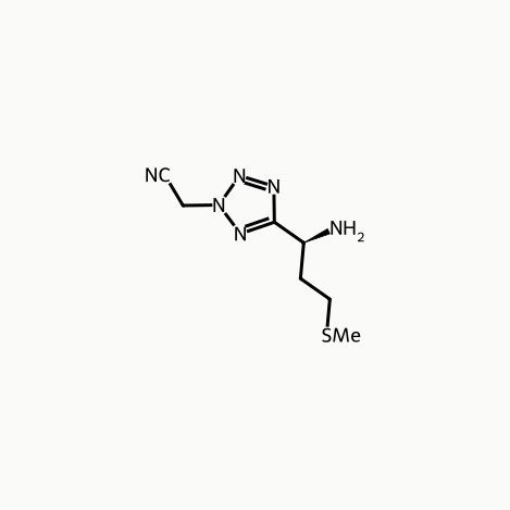 CSCC[C@H](N)c1nnn(CC#N)n1